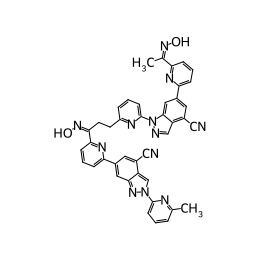 C/C(=N/O)c1cccc(-c2cc(C#N)c3cnn(-c4cccc(CC/C(=N/O)c5cccc(-c6cc(C#N)c7cn(-c8cccc(C)n8)nc7c6)n5)n4)c3c2)n1